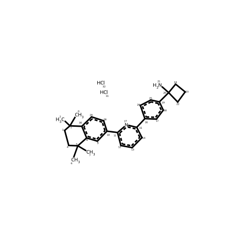 CC1(C)CCC(C)(C)c2cc(-c3cccc(-c4ccc(C5(N)CCC5)cc4)n3)ccc21.Cl.Cl